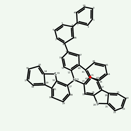 c1ccc(-c2cccc(-c3ccc(N(c4ccc5c(c4)sc4ccccc45)c4cccc5c4sc4ccccc45)c(-c4ccccc4)c3)c2)cc1